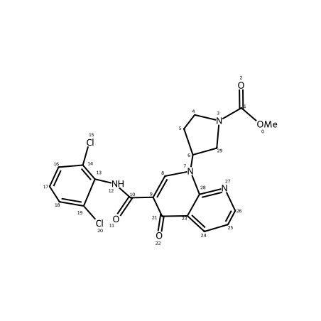 COC(=O)N1CCC(n2cc(C(=O)Nc3c(Cl)cccc3Cl)c(=O)c3cccnc32)C1